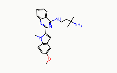 COc1ccc2c(c1)cc(-c1nc(NCCC(C)(C)N)c3ccccc3n1)n2C